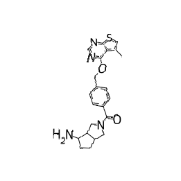 Cc1csc2ncnc(OCc3ccc(C(=O)N4CC5CCC(N)C5C4)cc3)c12